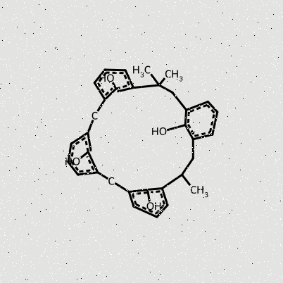 CC1Cc2cccc(c2O)CC(C)(C)c2cccc(c2O)Cc2cccc(c2O)Cc2cccc1c2O